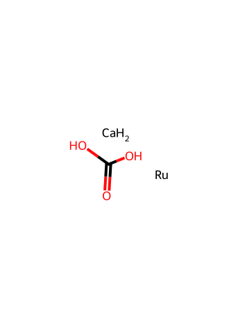 O=C(O)O.[CaH2].[Ru]